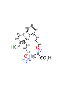 CC(=NOCC=Cc1ccccc1)C(=O)O.Cl.NOCC=Cc1ccccc1